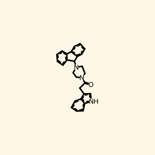 O=C(Cc1c[nH]c2ccccc12)N1CCN(C2c3ccccc3-c3ccccc32)CC1